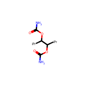 CC(C)C(OC(N)=O)C(OC(N)=O)C(C)C